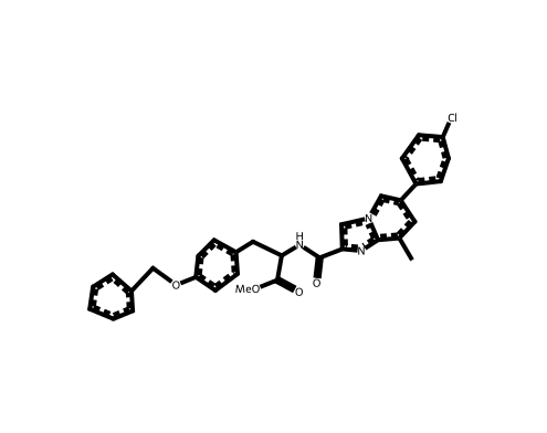 COC(=O)C(Cc1ccc(OCc2ccccc2)cc1)NC(=O)c1cn2cc(-c3ccc(Cl)cc3)cc(C)c2n1